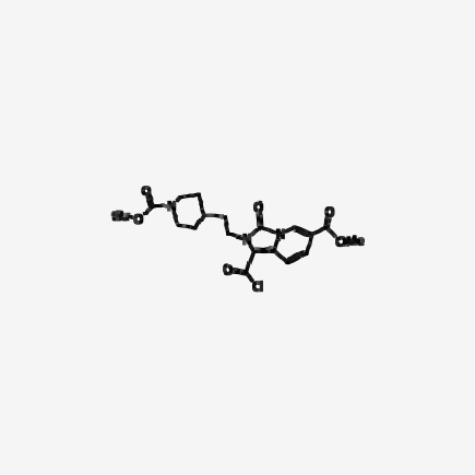 COC(=O)c1ccc2c(C(=O)Cl)n(CCC3CCN(C(=O)OC(C)(C)C)CC3)c(=O)n2c1